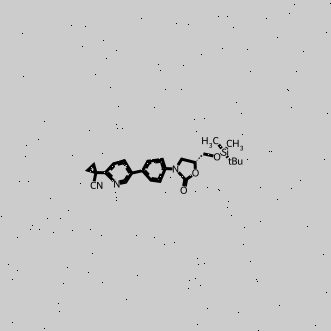 CC(C)(C)[Si](C)(C)OC[C@H]1CN(c2ccc(-c3ccc(C4(C#N)CC4)nc3)cc2)C(=O)O1